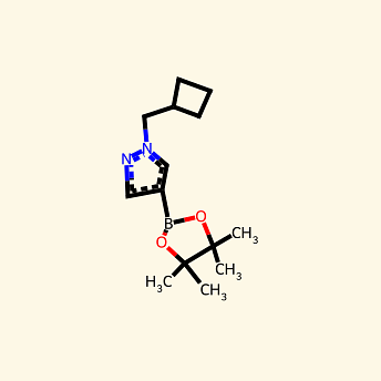 CC1(C)OB(c2cnn(CC3CCC3)c2)OC1(C)C